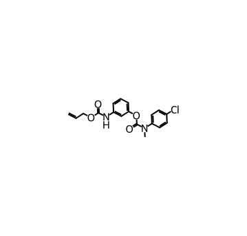 C=CCOC(=O)Nc1cccc(OC(=O)N(C)c2ccc(Cl)cc2)c1